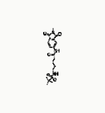 CN1C(=O)c2ccc(NC(=O)CCCCNS(=O)(=O)C(C)(C)C)cc2C1=O